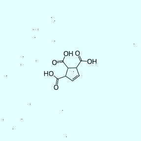 O=C(O)C1C=CC(C(=O)O)C1C(=O)O